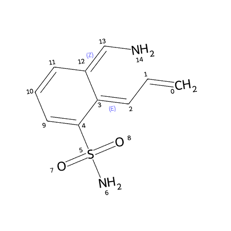 C=C/C=c1/c(S(N)(=O)=O)ccc/c1=C/N